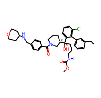 CCc1cccc(-c2c(Cl)cccc2[C@](O)(CCCNC(=O)OC)[C@@H]2CCCN(C(=O)c3ccc(CNC4CCOCC4)cc3)C2)c1